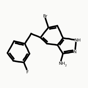 Nc1n[nH]c2cc(Br)c(Cc3cccc(F)c3)cc12